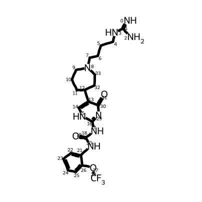 N=C(N)NCCCCN1CCCC(c2c[nH]c(NC(=O)Nc3ccccc3OC(F)(F)F)nc2=O)CC1